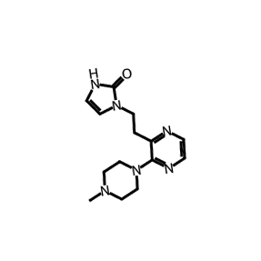 CN1CCN(c2nccnc2CCn2cc[nH]c2=O)CC1